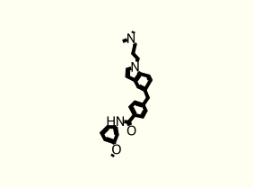 COc1cccc(NC(=O)c2ccc(Cc3ccc4c(ccn4CCCN(C)C)c3)cc2)c1